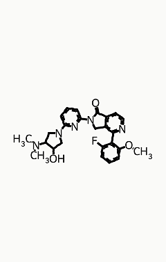 COc1cccc(F)c1-c1nccc2c1CN(c1cccc(N3CC(O)C(N(C)C)C3)n1)C2=O